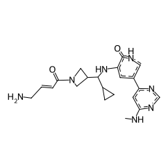 CNc1cc(-c2c[nH]c(=O)c(NC(C3CC3)C3CN(C(=O)/C=C/CN)C3)c2)ncn1